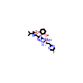 COc1cccc(OC)c1-n1c(NS(=N)(=N)[C@@H](C)Cc2ncc(F)cn2)nnc1-c1nc(C(C)C)cs1